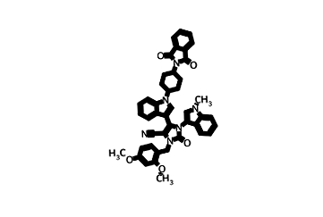 COc1ccc(Cn2c(C#N)c(-c3cn(C4CCC(N5C(=O)c6ccccc6C5=O)CC4)c4ccccc34)n(-c3cn(C)c4ccccc34)c2=O)c(OC)c1